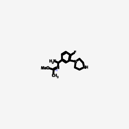 CO/C(C)=N\C(N)c1ccc(F)c(N2CCNCC2)c1